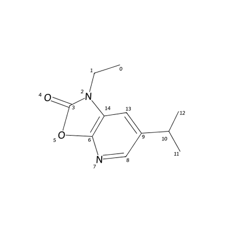 CCn1c(=O)oc2ncc(C(C)C)cc21